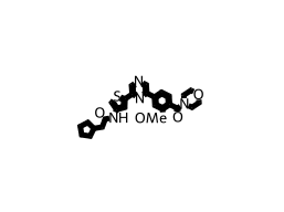 COc1cc(-c2cncc(-c3cc(NC(=O)CC4CCCC4)cs3)n2)ccc1C(=O)N1CCOCC1